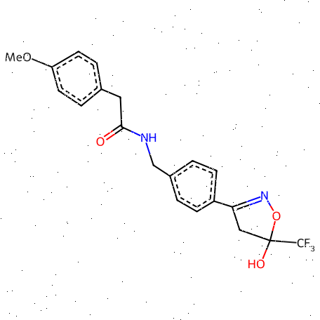 COc1ccc(CC(=O)NCc2ccc(C3=NOC(O)(C(F)(F)F)C3)cc2)cc1